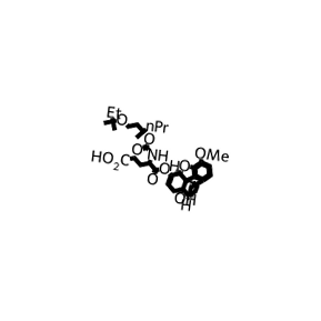 CCCC(C)(CCOC(C)(C)CC)OC(=O)NC(CCC(=O)O)C(=O)OC1=CC[C@@]2(O)[C@@H]3CCC[C@@]24c2c(ccc(OC)c2O[C@@H]14)C3